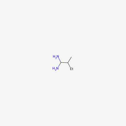 CCC(C)C(N)N